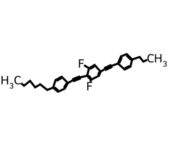 CCCCCCc1ccc(C#Cc2c(F)cc(C#Cc3ccc(CCC)cc3)cc2F)cc1